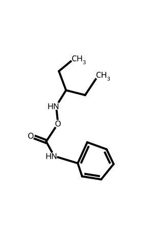 CCC(CC)NOC(=O)Nc1ccccc1